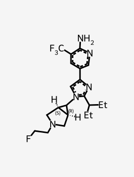 CCC(CC)c1nc(-c2cnc(N)c(C(F)(F)F)c2)cn1C1[C@H]2CN(CCF)C[C@@H]12